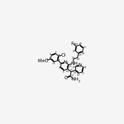 COc1ccc(Cl)c(-c2ccc(C(C(N)=O)c3cccnc3)c(NCCc3cccc(F)c3)n2)c1